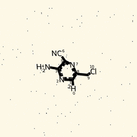 [2H]c1nc(N)c(C#N)nc1CCl